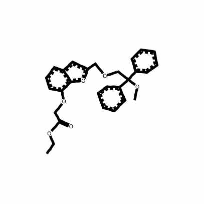 CCOC(=O)COc1cccc2cc(COCC(OC)(c3ccccc3)c3ccccc3)oc12